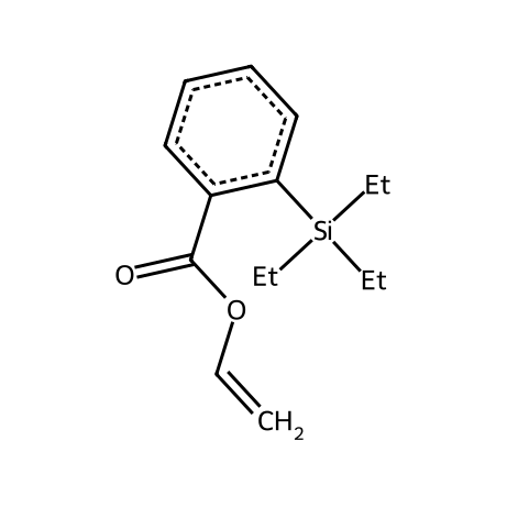 C=COC(=O)c1ccccc1[Si](CC)(CC)CC